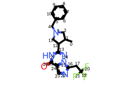 CC1CN(Cc2ccccc2)CC1c1nn2c(CC(F)(F)F)ncc2c(=O)[nH]1